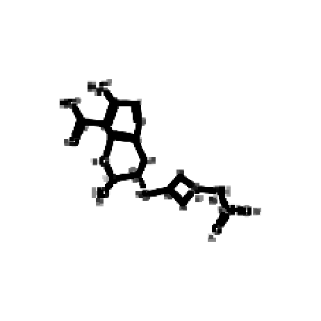 Cc1ccc2c(c1C(=O)O)OB(O)[C@@H](SC1CN(N[SH](=O)=O)C1)C2